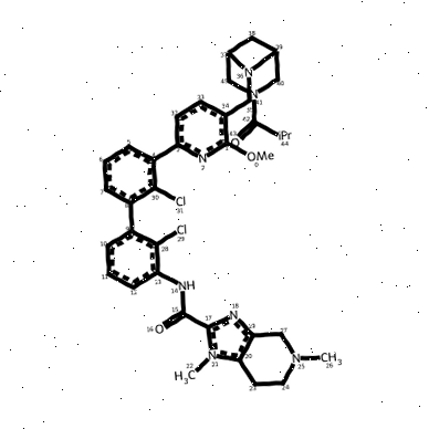 COc1nc(-c2cccc(-c3cccc(NC(=O)c4nc5c(n4C)CCN(C)C5)c3Cl)c2Cl)ccc1CN1C2CC1CN(C(=O)C(C)C)C2